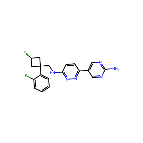 Nc1ncc(-c2ccc(NC[C@]3(c4ccccc4F)C[C@H](F)C3)nn2)cn1